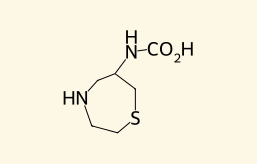 O=C(O)NC1CNCCSC1